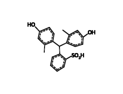 Cc1cc(O)ccc1C(c1ccc(O)cc1C)c1ccccc1S(=O)(=O)O